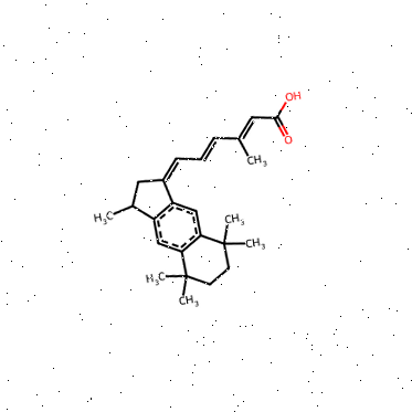 CC(/C=C/C=C1/CC(C)c2cc3c(cc21)C(C)(C)CCC3(C)C)=C\C(=O)O